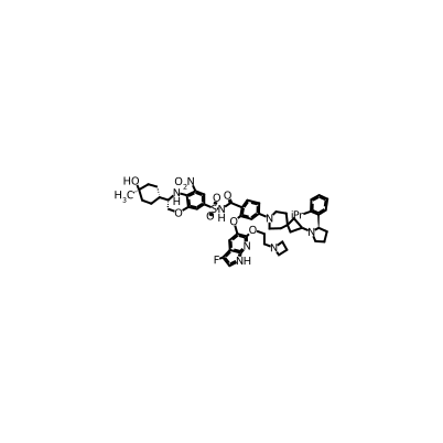 CC(C)c1ccccc1[C@H]1CCCN1C1CC2(CCN(c3ccc(C(=O)NS(=O)(=O)c4cc5c(c([N+](=O)[O-])c4)N[C@@H]([C@H]4CC[C@](C)(O)CC4)CO5)c(Oc4cc5c(F)c[nH]c5nc4OCCN4CCC4)c3)CC2)C1